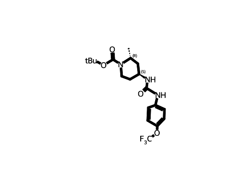 C[C@@H]1C[C@@H](NC(=O)Nc2ccc(OC(F)(F)F)cc2)CCN1C(=O)OC(C)(C)C